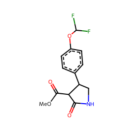 COC(=O)C1C(=O)NCC1c1ccc(OC(F)F)cc1